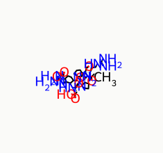 CCC(=O)N(C(=O)[C@@H]1CCCN1C(=O)[C@H](CC(=O)O)N[C@H]1C2=NN(C(N)=O)[C@@]2(C(N)=O)CCC1CN)[C@@](C=O)(CCCNC(=N)N)C1CCCCC1